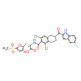 CS(=O)(=O)c1ccc(C[C@H](NC(=O)c2c(Cl)cc3c(c2Cl)CCC(C(=O)c2cc4cc(F)ccc4[nH]2)C3)C(=O)O)o1